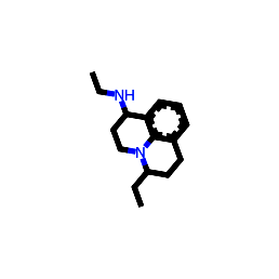 CCNC1CCN2c3c(cccc31)CCC2CC